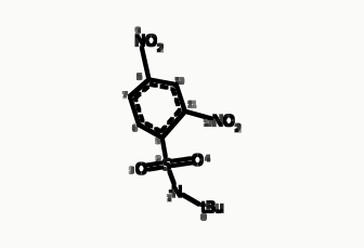 CC(C)(C)[N]S(=O)(=O)c1ccc([N+](=O)[O-])cc1[N+](=O)[O-]